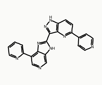 c1ccc(-c2cncc3[nH]c(-c4n[nH]c5ccc(-c6ccncc6)nc45)nc23)nc1